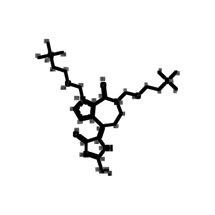 C[Si](C)(C)CCOCN1CCC(=C2NC(N)=NC2=O)c2ccn(COCC[Si](C)(C)C)c2C1=O